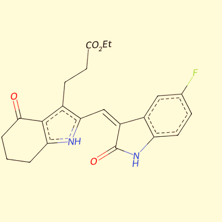 CCOC(=O)CCc1c(C=C2C(=O)Nc3ccc(F)cc32)[nH]c2c1C(=O)CCC2